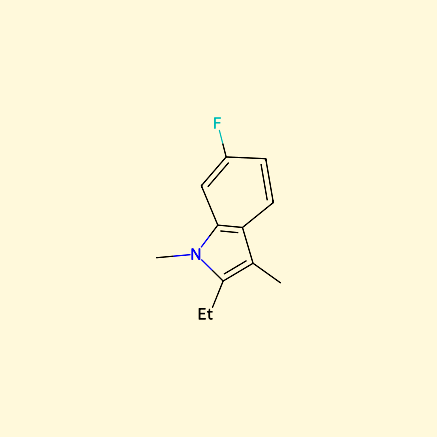 CCc1c(C)c2ccc(F)cc2n1C